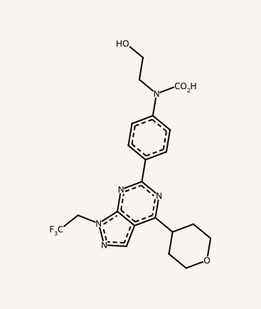 O=C(O)N(CCO)c1ccc(-c2nc(C3CCOCC3)c3cnn(CC(F)(F)F)c3n2)cc1